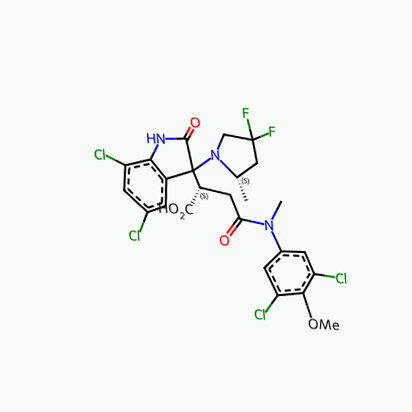 COc1c(Cl)cc(N(C)C(=O)C[C@H](C(=O)O)C2(N3CC(F)(F)C[C@@H]3C)C(=O)Nc3c(Cl)cc(Cl)cc32)cc1Cl